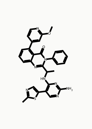 COc1cc(-c2cccc3nc(C(C)Nc4nc(N)ncc4-c4cnc(C)s4)n(-c4ccccc4)c(=O)c23)ccn1